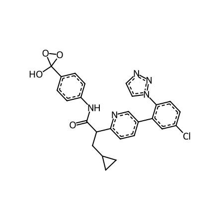 O=C(Nc1ccc(C2(O)OO2)cc1)C(CC1CC1)c1ccc(-c2cc(Cl)ccc2-n2ccnn2)cn1